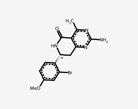 COc1ccc([C@H]2Cc3nc(N)nc(C)c3C(=O)N2)c(Br)c1